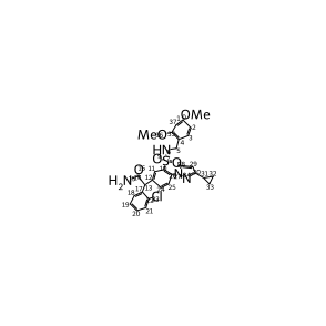 COc1ccc(CNS(=O)(=O)c2cc(C(C(N)=O)c3ccccc3Cl)ccc2-n2ccc(C3CC3)n2)c(OC)c1